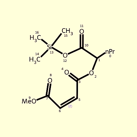 CCCC(OC(=O)/C=C\C(=O)OC)C(=O)O[Si](C)(C)C